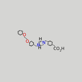 O=C(O)Cc1ccc(CN2C[C@@H]3C[C@H]2CN3Cc2ccc(OCCOc3ccccc3)cc2)cc1